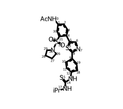 CC(=O)Nc1ccc(-c2cnc(-c3ccc(NC(=S)NC(C)C)cc3)s2)c(S(=O)(=O)N2CCCC2)c1